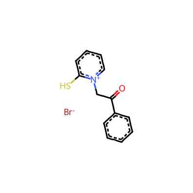 O=C(C[n+]1ccccc1S)c1ccccc1.[Br-]